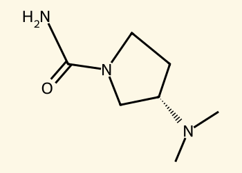 CN(C)[C@H]1CCN(C(N)=O)C1